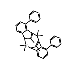 CC1=C2c3c(-c4ccccc4)cccc3[CH]1[Zr]([CH3])([CH3])[CH]1C(C)=C(c3c(-c4ccccc4)cccc31)C2(C)C